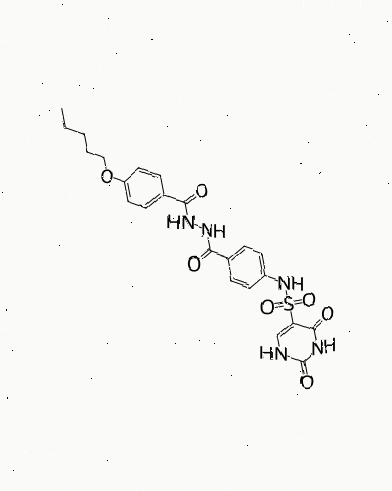 CCCCCOc1ccc(C(=O)NNC(=O)c2ccc(NS(=O)(=O)c3c[nH]c(=O)[nH]c3=O)cc2)cc1